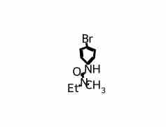 CCN(C)C(=O)Nc1ccc(Br)cc1